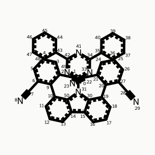 N#Cc1cccc(C#N)c1-c1cccc2c3cccc(-c4c(C#N)cccc4C#N)c3n(-c3nc(-c4ccccc4)nc(-c4ccccc4)n3)c12